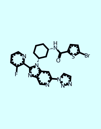 O=C(N[C@H]1CCC[C@@H](n2c(-c3ncccc3F)nc3cnc(-n4ccnn4)cc32)C1)c1ccc(Br)s1